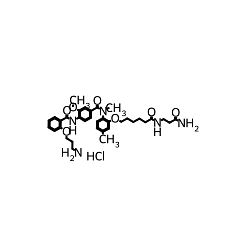 COc1cc(C(=O)N(C)c2ccc(C)cc2OCCCCCC(=O)NCCC(N)=O)ccc1NC(=O)c1ccccc1OCCCN.Cl